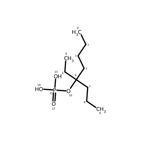 CCCCC(CC)(CCC)OP(=O)(O)O